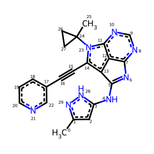 Cc1cc(NC2=Nc3ncnc4c3c2c(C#Cc2cccnc2)n4C2(C)CC2)[nH]n1